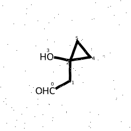 O=CCC1(O)CC1